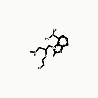 CNCC(Cn1c(C)nc2cccc(B(O)O)c21)OCCO